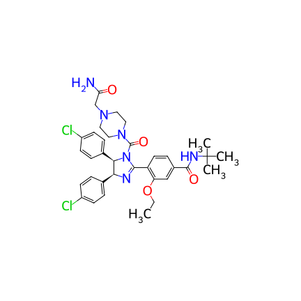 CCOc1cc(C(=O)NC(C)(C)C)ccc1C1=N[C@@H](c2ccc(Cl)cc2)[C@@H](c2ccc(Cl)cc2)N1C(=O)N1CCN(CC(N)=O)CC1